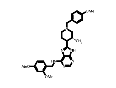 COc1ccc(CN2CCC(c3nc4c(NCc5ccc(OC)cc5OC)ncnc4[nH]3)[C@@H](C)C2)cc1